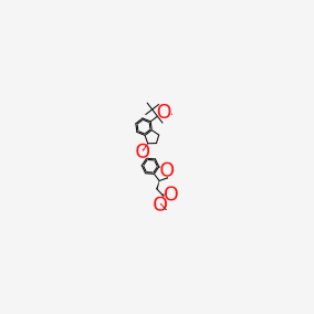 COC(=O)C[C@@H]1COc2cc(O[C@@H]3CCc4c3cccc4C(C)(OC)C(C)(C)C)ccc21